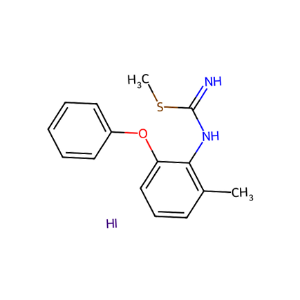 CSC(=N)Nc1c(C)cccc1Oc1ccccc1.I